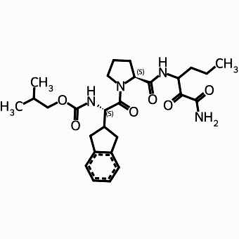 CCCC(NC(=O)[C@@H]1CCCN1C(=O)[C@@H](NC(=O)OCC(C)C)C1Cc2ccccc2C1)C(=O)C(N)=O